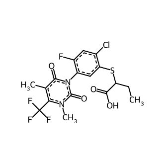 CCC(Sc1cc(-n2c(=O)c(C)c(C(F)(F)F)n(C)c2=O)c(F)cc1Cl)C(=O)O